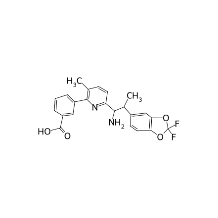 Cc1ccc(C(N)C(C)c2ccc3c(c2)OC(F)(F)O3)nc1-c1cccc(C(=O)O)c1